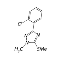 CSc1nc(-c2ccccc2Cl)nn1C